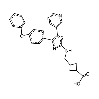 O=C(O)C1CC(CNc2nc(-c3ccc(Oc4ccccc4)cc3)c(-c3cncnc3)s2)C1